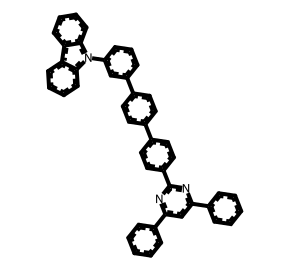 c1ccc(-c2cc(-c3ccccc3)nc(-c3ccc(-c4ccc(-c5cccc(-n6c7ccccc7c7ccccc76)c5)cc4)cc3)n2)cc1